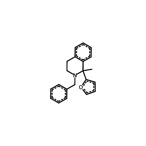 CC1(c2ccco2)c2ccccc2CCN1Cc1ccccc1